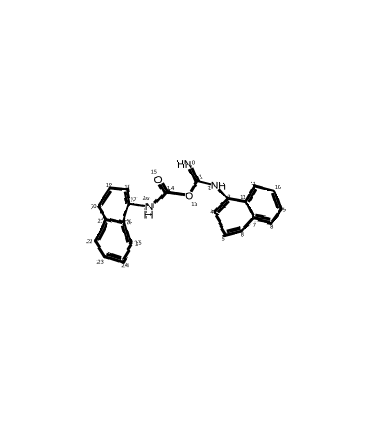 N=C(Nc1cccc2ccccc12)OC(=O)Nc1cccc2ccccc12